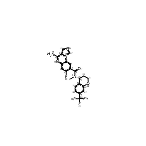 CN(C(=O)c1cc2c(cc1F)nc(N)c1cncn12)[C@@H]1CCOc2cc(C(F)(F)F)ccc21